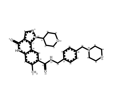 Cc1cc2[nH]c(=O)c3cnn(C4CCOCC4)c3c2cc1C(=O)NCc1ccc(CN2CCOCC2)cc1